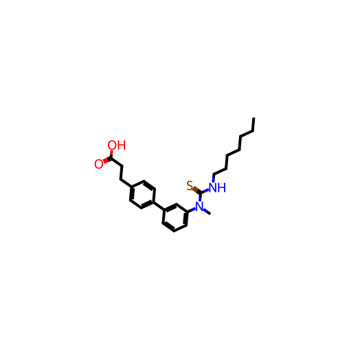 CCCCCCCNC(=S)N(C)c1cccc(-c2ccc(CCC(=O)O)cc2)c1